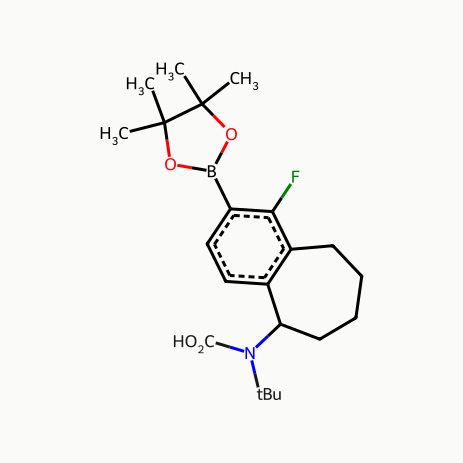 CC(C)(C)N(C(=O)O)C1CCCCc2c1ccc(B1OC(C)(C)C(C)(C)O1)c2F